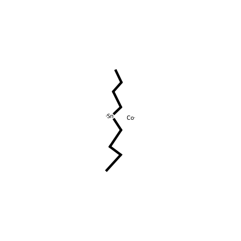 CCC[CH2][Sn][CH2]CCC.[Co]